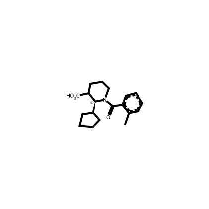 Cc1ccccc1C(=O)N1CCCC(C(=O)O)[C@@H]1C1CCCC1